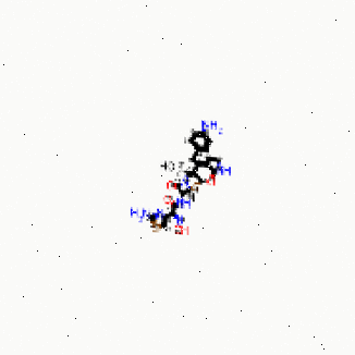 Nc1ccc(CC(=C2CCNC2=O)C2=C(C(=O)O)N3C(=O)[C@@H](NC(=O)C(=NO)c4csc(N)n4)[C@H]3SC2)cc1